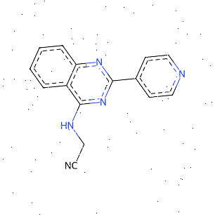 N#CCNc1nc(-c2ccncc2)nc2ccccc12